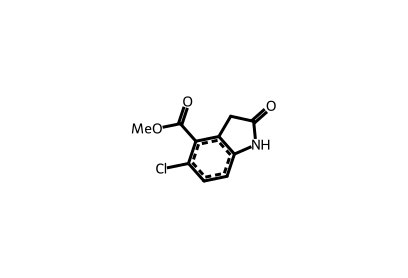 COC(=O)c1c(Cl)ccc2c1CC(=O)N2